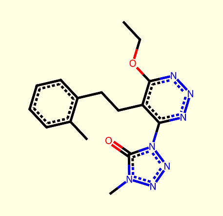 CCOc1nnnc(-n2nnn(C)c2=O)c1CCc1ccccc1C